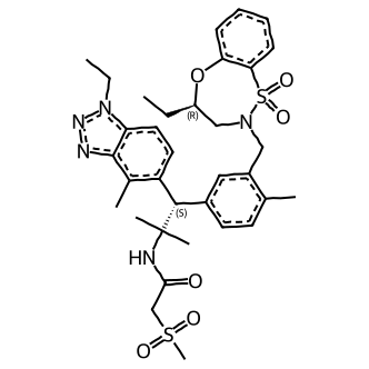 CC[C@@H]1CN(Cc2cc([C@@H](c3ccc4c(nnn4CC)c3C)C(C)(C)NC(=O)CS(C)(=O)=O)ccc2C)S(=O)(=O)c2ccccc2O1